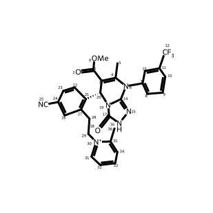 COC(=O)C1=C(C)N(c2cccc(C(F)(F)F)c2)c2n[nH]c(=O)n2[C@@H]1c1ccc(C#N)cc1CC[n+]1ccccc1C